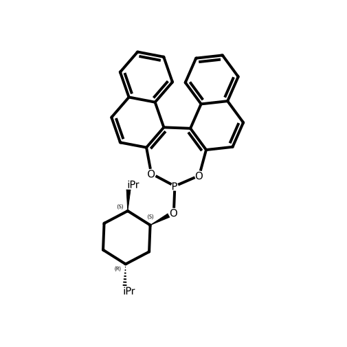 CC(C)[C@@H]1CC[C@@H](C(C)C)[C@@H](Op2oc3ccc4ccccc4c3c3c(ccc4ccccc43)o2)C1